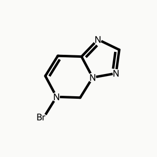 BrN1C=Cc2ncnn2C1